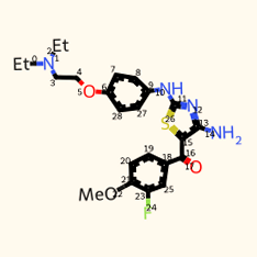 CCN(CC)CCOc1ccc(Nc2nc(N)c(C(=O)c3ccc(OC)c(F)c3)s2)cc1